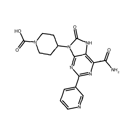 NC(=O)c1nc(-c2cccnc2)nc2c1[nH]c(=O)n2C1CCN(C(=O)O)CC1